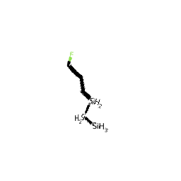 FC=CC[SiH2][SiH2][SiH3]